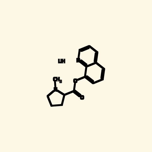 CN1CCCC1C(=O)Oc1cccc2cccnc12.[LiH]